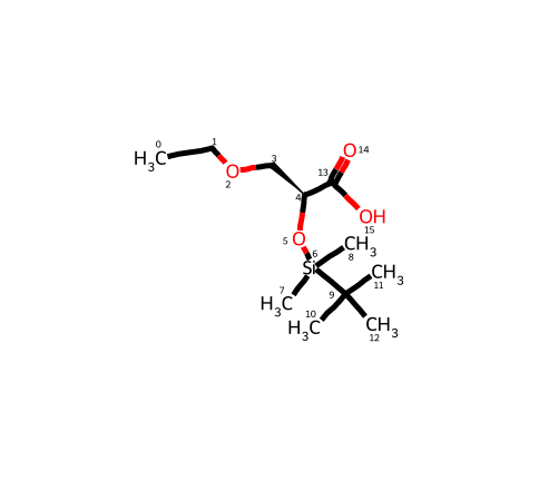 CCOC[C@H](O[Si](C)(C)C(C)(C)C)C(=O)O